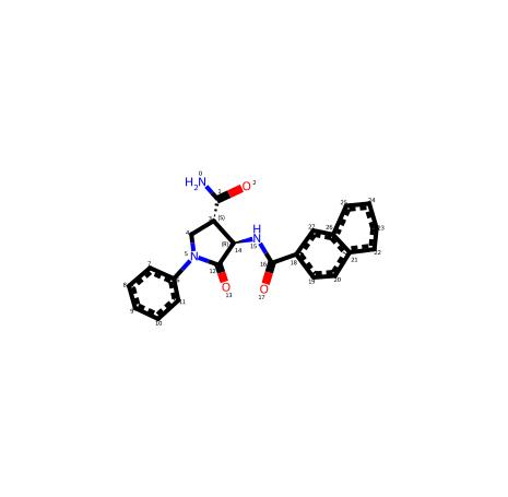 NC(=O)[C@H]1CN(c2ccccc2)C(=O)[C@@H]1NC(=O)c1ccc2ccccc2c1